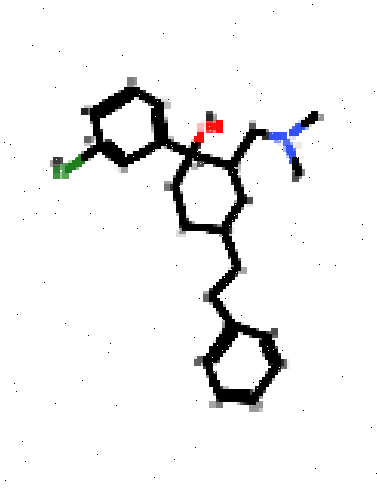 CN(C)CC1CC(CCc2ccccc2)CCC1(O)c1cccc(Cl)c1